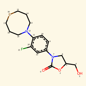 O=C1OC(CO)CN1c1ccc(N2CCCSCCC2)c(F)c1